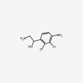 NCC(O)c1ccc(N)c(Cl)c1Cl